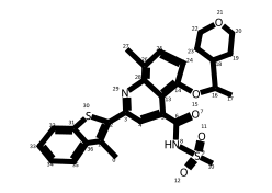 Cc1c(-c2cc(C(=O)NS(C)(=O)=O)c3c(OC(C)C4CCOCC4)ccc(C)c3n2)sc2ccccc12